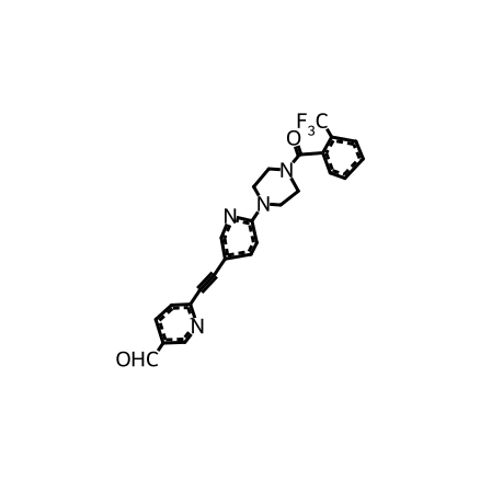 O=Cc1ccc(C#Cc2ccc(N3CCN(C(=O)c4ccccc4C(F)(F)F)CC3)nc2)nc1